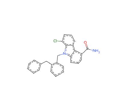 NC(=O)c1cccc2c1c1[c]ccc(Cl)c1n2Cc1ccccc1Cc1ccccc1